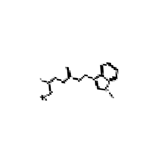 C=C(CCc1cn(C)c2ccccc12)CCC(C)CO